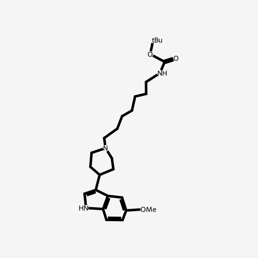 COc1ccc2[nH]cc(C3CCN(CCCCCCCNC(=O)OC(C)(C)C)CC3)c2c1